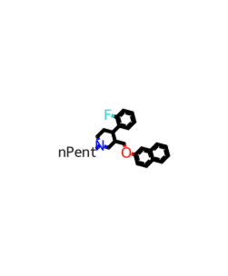 CCCCCN1CCC(c2ccccc2F)C(COc2ccc3ccccc3c2)C1